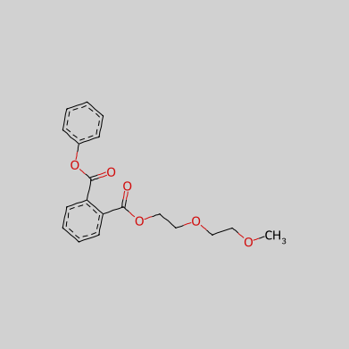 COCCOCCOC(=O)c1ccccc1C(=O)Oc1ccccc1